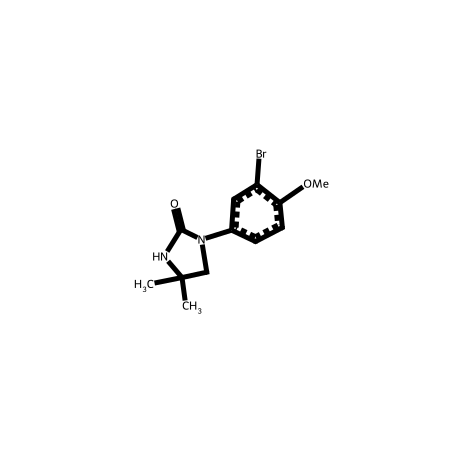 COc1ccc(N2CC(C)(C)NC2=O)cc1Br